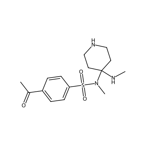 CNC1(N(C)S(=O)(=O)c2ccc(C(C)=O)cc2)CCNCC1